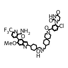 COc1cc2c(cc1-c1ccc(C(F)(F)F)nc1C(N)=O)=CC(C1CCC(O)(CN(C)CC3CCC4(CC3)CCN(C(=O)c3ccc(Cl)c(N5CCC(=O)NC5=O)c3)CC4)CC1)N=2